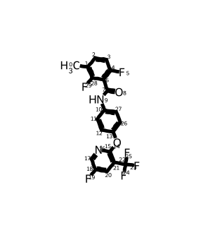 Cc1ccc(F)c(C(=O)Nc2ccc(Oc3ncc(F)cc3C(F)(F)F)cc2)c1F